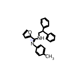 Cc1ccc(/N=C(\NCC(c2ccccc2)c2ccccc2)c2ccco2)cc1